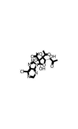 CC(=O)C(O)[C@@H]1O[C@@](O)(n2cnc3c(Cl)ncnc32)[C@](O)(C(C)=O)[C@]1(O)C(C)=O